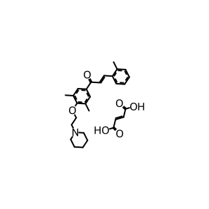 Cc1ccccc1C=CC(=O)c1cc(C)c(OCCN2CCCCC2)c(C)c1.O=C(O)/C=C/C(=O)O